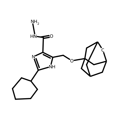 NNC(=O)c1nc(C2CCCCC2)[nH]c1COC12CC3CC(CC(C3)C1)C2